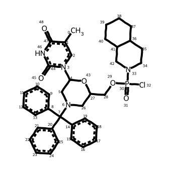 Cc1cn(C2CN(C(c3ccccc3)(c3ccccc3)c3ccccc3)CC(COP(=O)(Cl)N3CCC4CCCCC4C3)O2)c(=O)[nH]c1=O